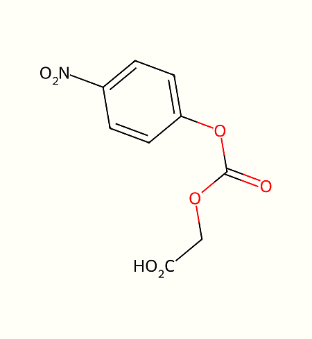 O=C(O)COC(=O)Oc1ccc([N+](=O)[O-])cc1